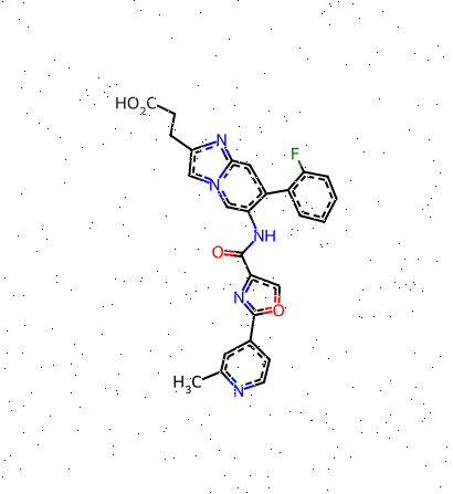 Cc1cc(-c2nc(C(=O)Nc3cn4cc(CCC(=O)O)nc4cc3-c3ccccc3F)co2)ccn1